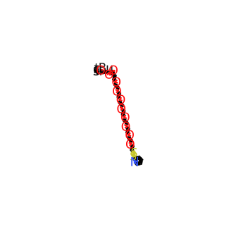 CC(C)(C)[Si](C)(C)OCCOC(=O)CCOCCOCCOCCOCCOCCOCCOCCOCCSSc1ccccn1